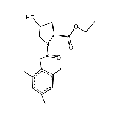 CCOC(=O)C1CC(O)CN1C(=O)Cc1c(C)cc(C)cc1C